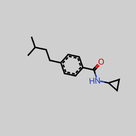 CC(C)CCc1ccc(C(=O)NC2CC2)cc1